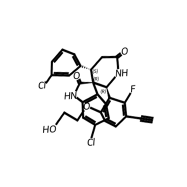 C#Cc1ccc(OCCO)c([C@@H]2NC(=O)C[C@@H](c3cccc(Cl)c3)[C@]23C(=O)Nc2cc(Cl)ccc23)c1F